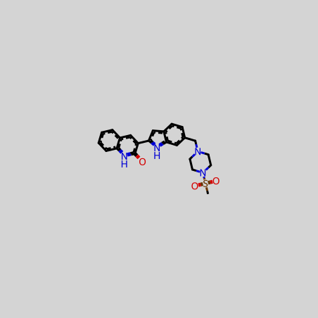 CS(=O)(=O)N1CCN(Cc2ccc3cc(-c4cc5ccccc5[nH]c4=O)[nH]c3c2)CC1